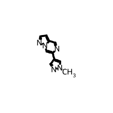 Cn1cc(-c2cn3nccc3cn2)cn1